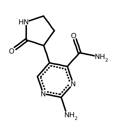 NC(=O)c1nc(N)ncc1C1CCNC1=O